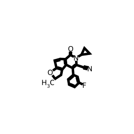 CC1Cc2c(ccc3c(=O)n(C4CC4)c(C#N)c(-c4cccc(F)c4)c23)O1